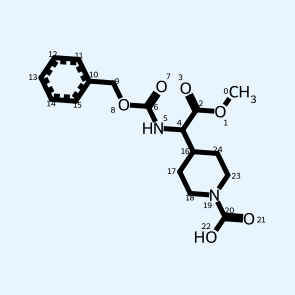 COC(=O)C(NC(=O)OCc1ccccc1)C1CCN(C(=O)O)CC1